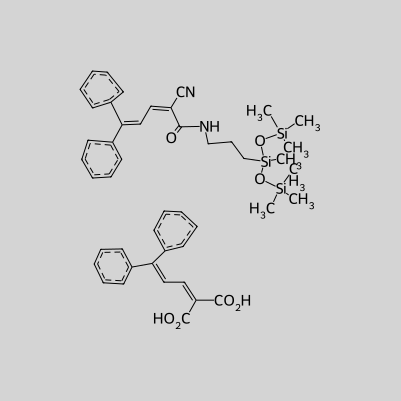 C[Si](C)(C)O[Si](C)(CCCNC(=O)C(C#N)=CC=C(c1ccccc1)c1ccccc1)O[Si](C)(C)C.O=C(O)C(=CC=C(c1ccccc1)c1ccccc1)C(=O)O